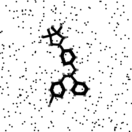 CC1(C)OB(c2ccc(OC(Oc3ccc(I)cc3)c3ccccc3)cc2)OC1(C)C